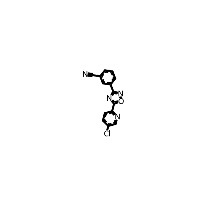 N#Cc1cccc(-c2noc(-c3ccc(Cl)cn3)n2)c1